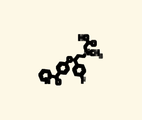 CN(CCC(Oc1ccc(C(=O)c2ccccn2)cc1)c1ccc(F)cc1)CC(=O)O